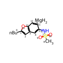 CCCCc1cc2cc(NS(C)(=O)=O)ccc2o1.[MgH2]